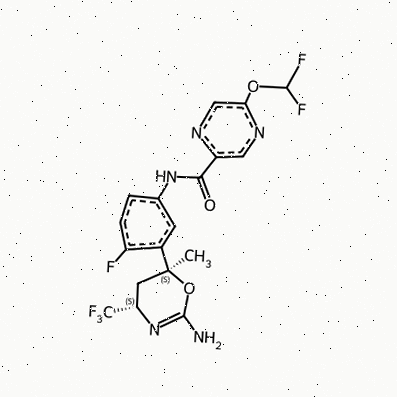 C[C@@]1(c2cc(NC(=O)c3cnc(OC(F)F)cn3)ccc2F)C[C@@H](C(F)(F)F)N=C(N)O1